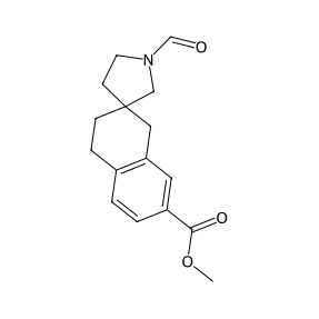 COC(=O)c1ccc2c(c1)CC1(CC2)CCN(C=O)C1